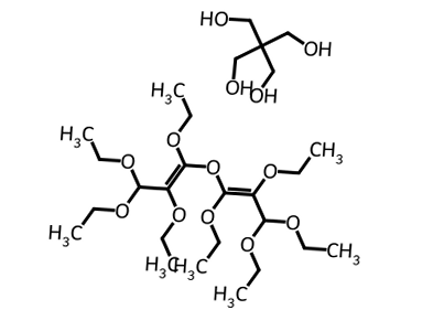 CCOC(OC(OCC)=C(OCC)C(OCC)OCC)=C(OCC)C(OCC)OCC.OCC(CO)(CO)CO